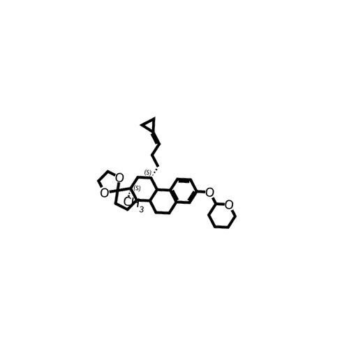 C[C@]12C[C@H](CCC=C3CC3)C3c4ccc(OC5CCCCO5)cc4CCC3C1CCC21OCCO1